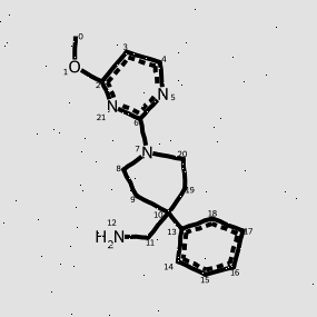 COc1ccnc(N2CCC(CN)(c3ccccc3)CC2)n1